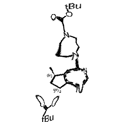 C[C@@H]1C[C@@H](OC(=O)C(C)(C)C)c2ncnc(N3CCN(C(=O)OC(C)(C)C)CC3)c21